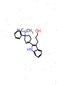 CN(C)C1(c2ccccc2)CC=C(c2[nH]c3ccccc3c2CCCO)CC1